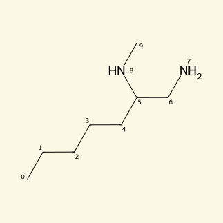 CCCCCC(CN)NC